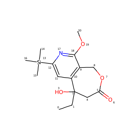 CCC1(O)CC(=O)OCc2c1cc([Si](C)(C)C)nc2OC